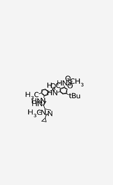 Cc1ccc(C(=O)Nc2cc(C(C)(C)C)cc(NS(C)(=O)=O)c2C)cc1N1C=C(C2CN=C(C3CC3)N2C)NN1